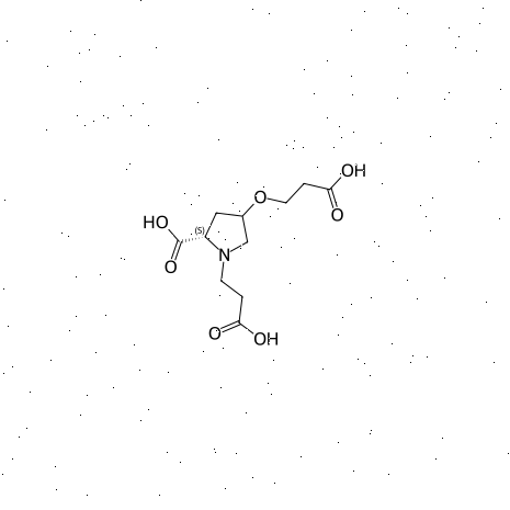 O=C(O)CCOC1C[C@@H](C(=O)O)N(CCC(=O)O)C1